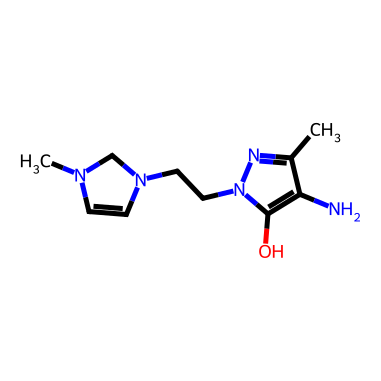 Cc1nn(CCN2C=CN(C)C2)c(O)c1N